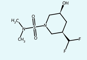 CN(C)S(=O)(=O)N1C[C@@H](O)C[C@@H](C(F)F)C1